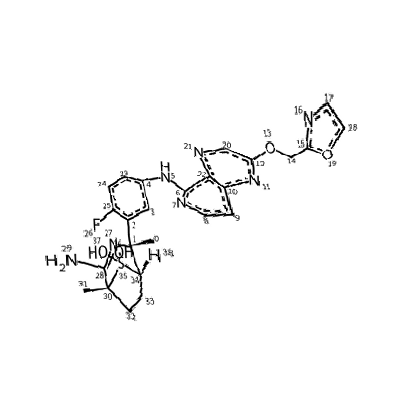 C[C@]1(c2cc(Nc3nccc4nc(OCc5ncco5)cnc34)ccc2F)N=C(N)[C@@]2(C)CC[C@@H]1S2(O)O